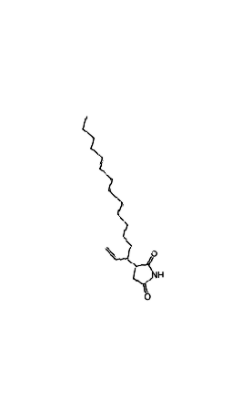 C=CC(CCCCCCCCCCCCC)C1CC(=O)NC1=O